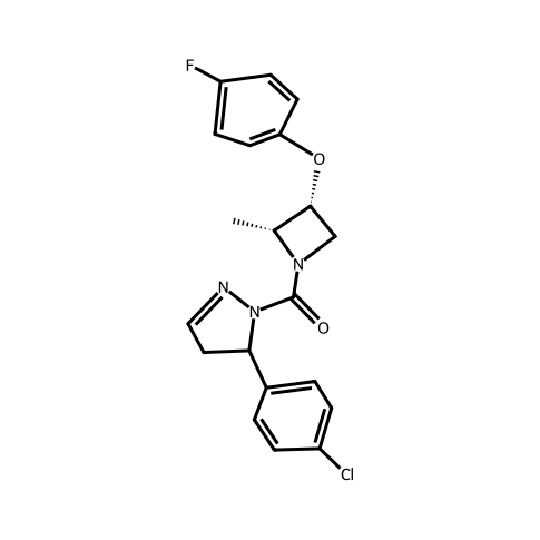 C[C@@H]1[C@H](Oc2ccc(F)cc2)CN1C(=O)N1N=CCC1c1ccc(Cl)cc1